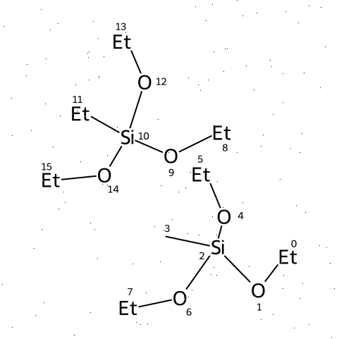 CCO[Si](C)(OCC)OCC.CCO[Si](CC)(OCC)OCC